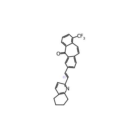 O=c1c2cc(/C=C/c3ccc4c(n3)CCCC4)ccc2ccc2c(C(F)(F)F)cccc12